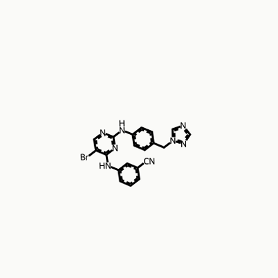 N#Cc1cccc(Nc2nc(Nc3ccc(Cn4cncn4)cc3)ncc2Br)c1